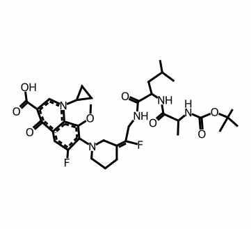 COc1c(N2CCC/C(=C(\F)CNC(=O)C(CC(C)C)NC(=O)C(C)NC(=O)OC(C)(C)C)C2)c(F)cc2c(=O)c(C(=O)O)cn(C3CC3)c12